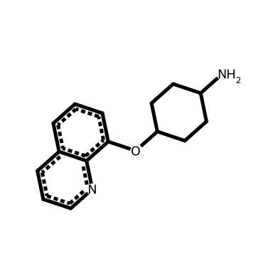 NC1CCC(Oc2cccc3cccnc23)CC1